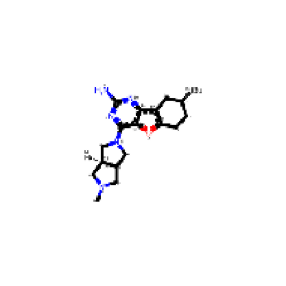 CN1CC2CN(c3nc(N)nc4c5c(oc34)CCC(C(C)(C)C)C5)C[C@@H]2C1